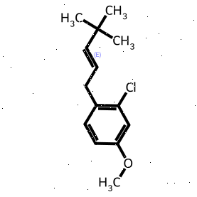 COc1ccc(C/C=C/C(C)(C)C)c(Cl)c1